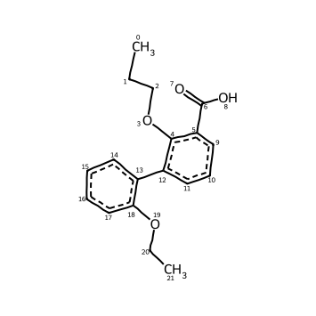 CCCOc1c(C(=O)O)cccc1-c1ccccc1OCC